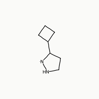 C1CC(C2CCN[N]2)C1